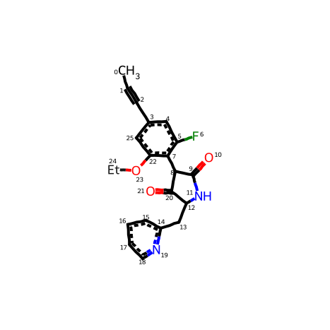 CC#Cc1cc(F)c(C2C(=O)NC(Cc3ccccn3)C2=O)c(OCC)c1